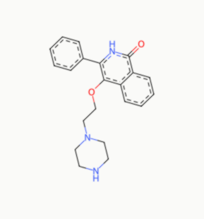 O=c1[nH]c(-c2ccccc2)c(OCCN2CCNCC2)c2ccccc12